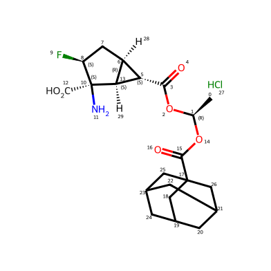 C[C@H](OC(=O)[C@H]1[C@@H]2C[C@H](F)[C@@](N)(C(=O)O)[C@@H]21)OC(=O)C12CC3CC(CC(C3)C1)C2.Cl